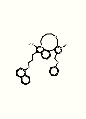 Cn1nc(COc2ccccc2)c2c1COCCCCn1c(C(=O)O)c(CCCOc3cccc4ccccc34)c3cccc-2c31